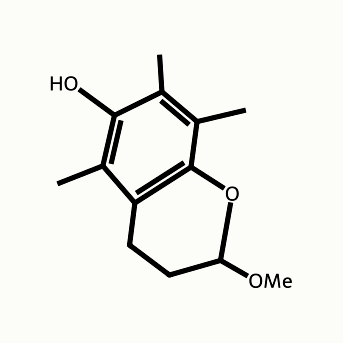 COC1CCc2c(C)c(O)c(C)c(C)c2O1